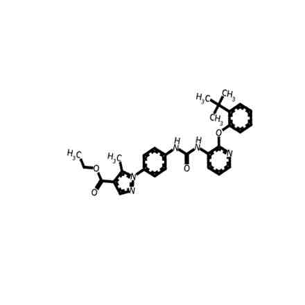 CCOC(=O)c1cnn(-c2ccc(NC(=O)Nc3cccnc3Oc3ccccc3C(C)(C)C)cc2)c1C